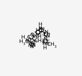 CC1=C(C(=O)Nc2ccc3[nH]nc(-c4cc(N5CCN[C@@H](C)C5)ncn4)c3c2)[C@@H](C)n2nnnc2N1C